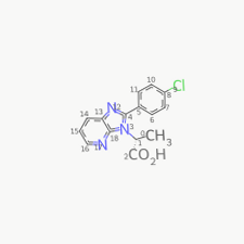 C[C@H](C(=O)O)n1c(-c2ccc(Cl)cc2)nc2cccnc21